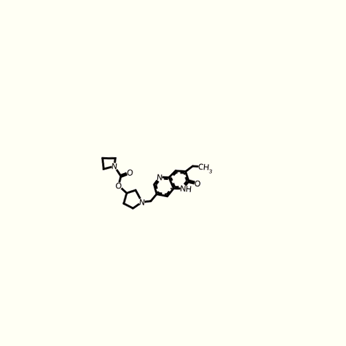 CCc1cc2ncc(CN3CCC(OC(=O)N4CCC4)C3)cc2[nH]c1=O